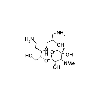 CN[C@@H]1[C@@H](O)[C@@H](O[C@H](CO)[C@@H](CCN)NCC(O)CN)OC[C@]1(C)O